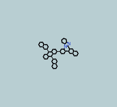 c1ccc2cc(-c3c4ccccc4c(-c4ccc5ccccc5c4)c4cc(-c5ccc6c7cc8ccccc8cc7c7nc8ccccc8n7c6c5)ccc34)ccc2c1